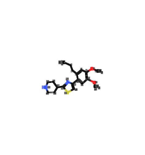 CCCc1cc(OC)c(OC)cc1-c1csc(C2CCNCC2)n1